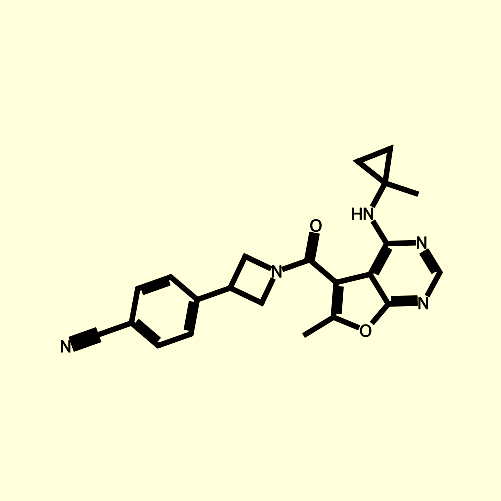 Cc1oc2ncnc(NC3(C)CC3)c2c1C(=O)N1CC(c2ccc(C#N)cc2)C1